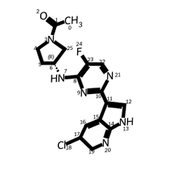 CC(=O)N1CC[C@@H](Nc2nc(-c3c[nH]c4c3=CC(Cl)CN=4)ncc2F)C1